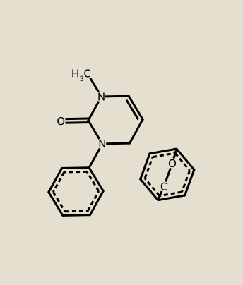 CN1C=CCN(c2ccccc2)C1=O.c1cc2ccc1CO2